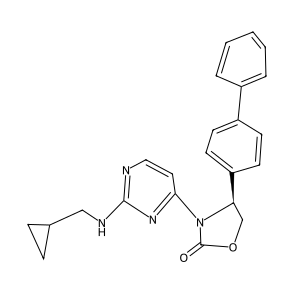 O=C1OC[C@H](c2ccc(-c3ccccc3)cc2)N1c1ccnc(NCC2CC2)n1